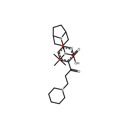 CC(C)(C)N(C(=O)O)C1CC2CCC(C1)N2c1ccc(C(=O)CCN2CCCCC2)cn1